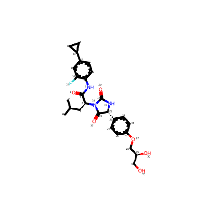 CC(C)C[C@@H](C(=O)Nc1ccc(C2CC2)cc1F)N1C(=O)N[C@H](c2ccc(OC[C@@H](O)CO)cc2)C1=O